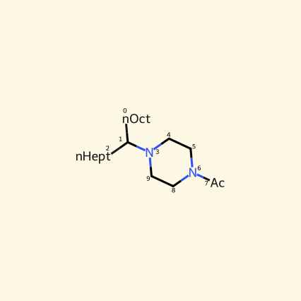 CCCCCCCCC(CCCCCCC)N1CCN(C(C)=O)CC1